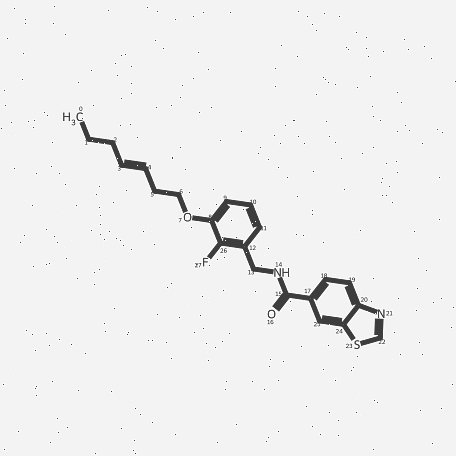 CCCC=CCCOc1cccc(CNC(=O)c2ccc3ncsc3c2)c1F